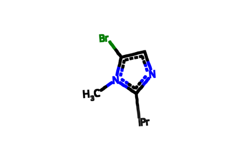 CC(C)c1ncc(Br)n1C